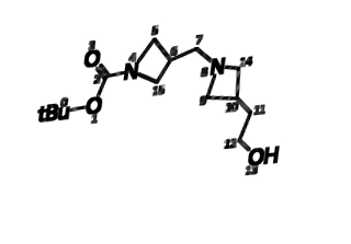 CC(C)(C)OC(=O)N1CC(CN2CC(CCO)C2)C1